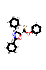 S=C(Oc1ccccc1)[C@@H]1OC(c2ccccc2)=N[C@H]1c1ccccc1